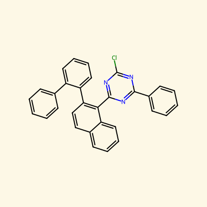 Clc1nc(-c2ccccc2)nc(-c2c(-c3ccccc3-c3ccccc3)ccc3ccccc23)n1